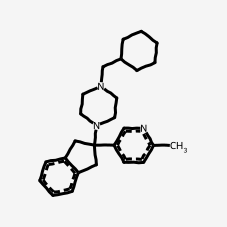 Cc1ccc(C2(N3CCN(CC4CCCCC4)CC3)Cc3ccccc3C2)cn1